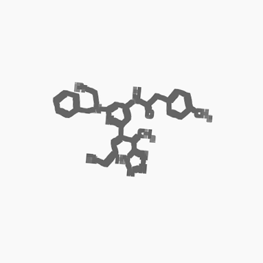 C=C(/C(=C\C=C/CC)c1cc(NC(=O)Cc2ccc(C)cc2)cc(N(Cc2ccccc2)CC(C)C)n1)c1nnn[nH]1